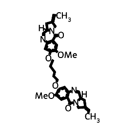 C/C=C1/C[C@H]2C=Nc3cc(OCCCCCOc4cc5c(cc4OC)C(=O)N4C/C(=C\C)C[C@H]4C=N5)c(OC)cc3C(=O)N2C1